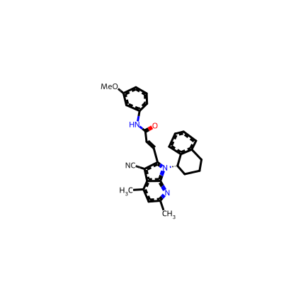 COc1cccc(NC(=O)C=Cc2c(C#N)c3c(C)cc(C)nc3n2[C@H]2CCCc3ccccc32)c1